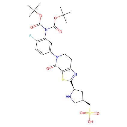 CC(C)(C)OC(=O)N(C(=O)OC(C)(C)C)c1cc(N2CCc3nc([C@H]4C[C@@H](CS(=O)(=O)O)CN4)sc3C2=O)ccc1F